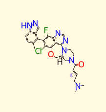 Cc1ccc2[nH]ncc2c1-c1c(Cl)c2c3c(ncnc3c1F)N1CCN(C(=O)/C=C/CN(C)C)C[C@H]1CO2